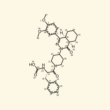 COc1ccc(C2=NN(C3CCN(C(=O)[C@H](Cc4ccncc4)NC(=O)O)CC3)C(=O)[C@@H]3CCCC[C@H]23)cc1OC